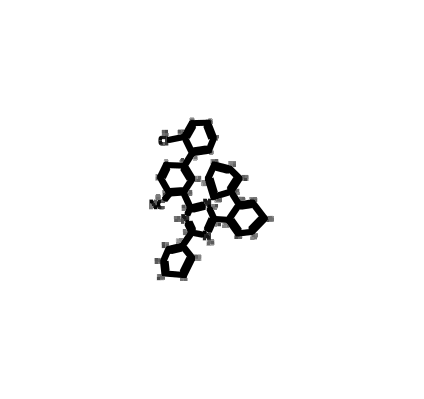 N#Cc1ccc(-c2ccccc2Cl)cc1-c1nc(-c2ccccc2)nc(-c2ccccc2-c2ccccc2)n1